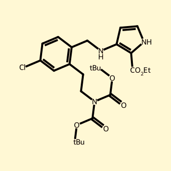 CCOC(=O)c1[nH]ccc1NCc1ccc(Cl)cc1CCN(C(=O)OC(C)(C)C)C(=O)OC(C)(C)C